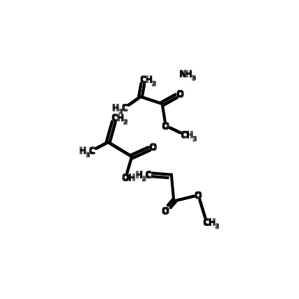 C=C(C)C(=O)O.C=C(C)C(=O)OC.C=CC(=O)OC.N